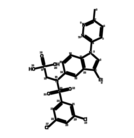 CCc1cn(-c2ccc(C)nn2)c2ccc(N(CP(=O)(O)O)S(=O)(=O)c3cc(Cl)cc(Cl)c3)cc12